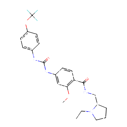 CCN1CCCC1CNC(=O)c1ccc(NC(=O)Nc2ccc(OC(F)(F)F)cc2)cc1OC